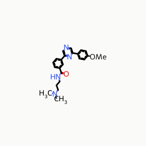 COc1ccc(-c2cncc(-c3cccc(C(=O)NCCCN(C)C)c3)n2)cc1